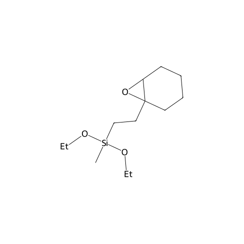 CCO[Si](C)(CCC12CCCCC1O2)OCC